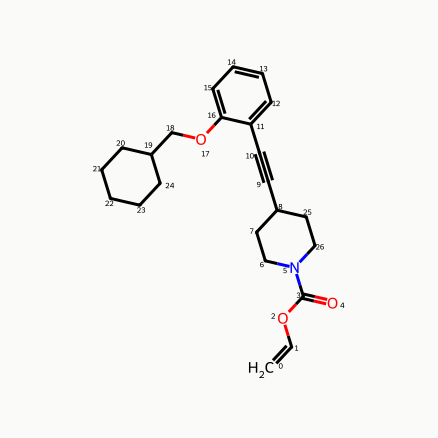 C=COC(=O)N1CCC(C#Cc2ccccc2OCC2CCCCC2)CC1